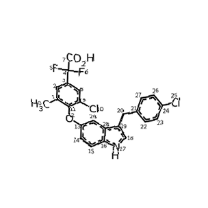 Cc1cc(C(F)(F)C(=O)O)cc(Cl)c1Oc1ccc2[nH]cc(Cc3ccc(Cl)cc3)c2c1